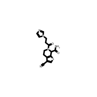 N#Cc1[c]sc2c1CCN(C(=O)CCn1ccnc1)C2C(N)=O